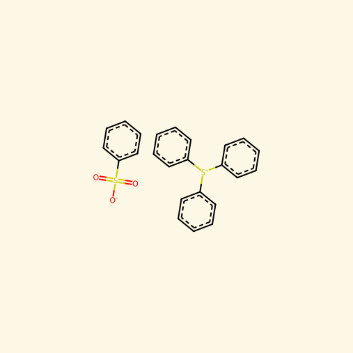 O=S(=O)([O-])c1ccccc1.c1ccc([S+](c2ccccc2)c2ccccc2)cc1